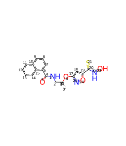 C[C@H](CNC(=O)c1cccc2ccccc12)Oc1cc(C(=S)NO)on1